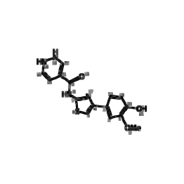 COc1cc(-c2csc(NC(=O)C3=CNNC=C3)n2)ccc1O